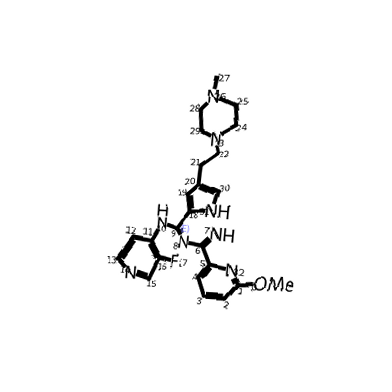 COc1cccc(C(=N)/N=C(/Nc2ccncc2F)c2cc(CCN3CCN(C)CC3)c[nH]2)n1